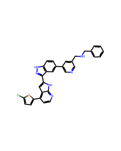 Fc1ccc(-c2ccnc3[nH]c(-c4n[nH]c5ccc(-c6cncc(CNCc7ccccc7)c6)cc45)cc23)s1